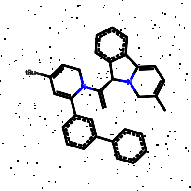 C=C([C@H]1c2ccccc2C2=CC=C(C)CN21)N1CC=C(C(C)(C)C)C=C1c1cccc(-c2ccccc2)c1